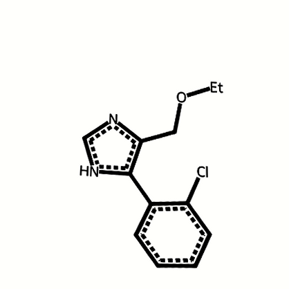 CCOCc1nc[nH]c1-c1ccccc1Cl